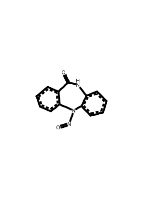 O=NN1c2ccccc2NC(=O)c2ccccc21